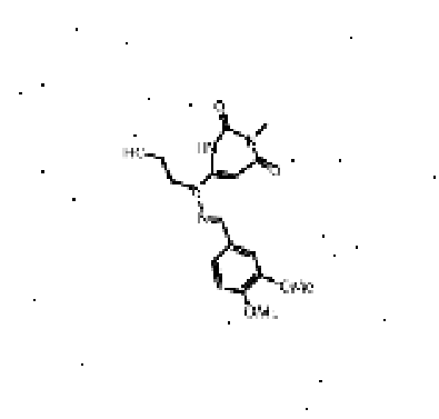 COc1ccc(/C=N/N(CCO)c2cc(=O)n(C)c(=O)[nH]2)cc1OC